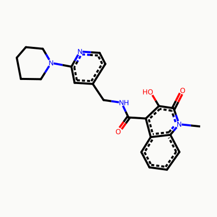 Cn1c(=O)c(O)c(C(=O)NCc2ccnc(N3CCCCC3)c2)c2ccccc21